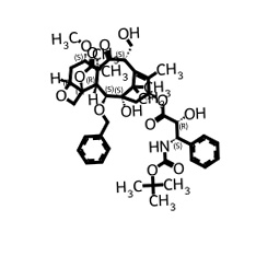 CO[C@H]1C[C@H]2OC[C@@]2(OC(C)=O)[C@H]2[C@H](OCc3ccccc3)[C@]3(O)C[C@H](OC(=O)[C@H](O)[C@@H](NC(=O)OC(C)(C)C)c4ccccc4)C(C)=C([C@@H](CO)C(=O)[C@]12C)C3(C)C